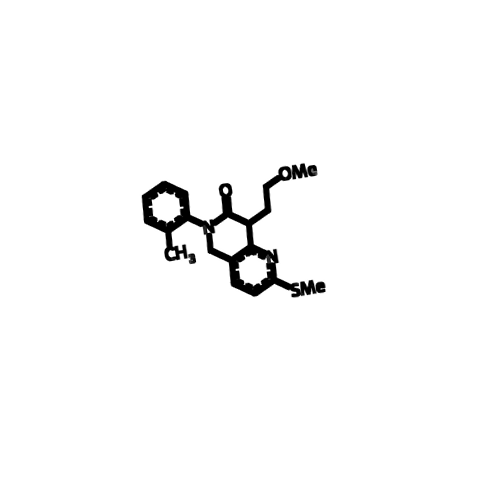 COCCC1C(=O)N(c2ccccc2C)Cc2ccc(SC)nc21